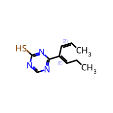 C/C=C\C(=C/CC)c1ncnc(S)n1